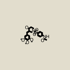 COc1cc(C=C2CN(S(=O)(=O)c3ccc(NC(C)=O)cc3)CCC2=O)cc(OC)c1OC